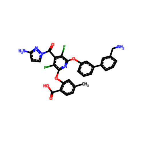 Cc1ccc(C(=O)O)c(Oc2nc(Oc3cccc(-c4cccc(CN)c4)c3)c(F)c(C(=O)n3ccc(N)n3)c2F)c1